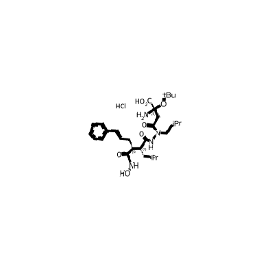 CC(C)C[C@@H](C(=O)NN(CC(C)C)C(=O)C[C@](N)(OC(C)(C)C)C(=O)O)[C@H](CC=Cc1ccccc1)C(=O)NO.Cl